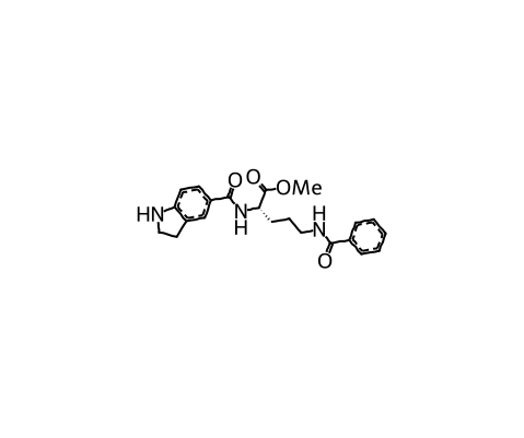 COC(=O)[C@H](CCCNC(=O)c1ccccc1)NC(=O)c1ccc2c(c1)CCN2